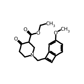 CCOC(=O)C1CN(CC2=Cc3ccc(OC)cc32)CCC1=O